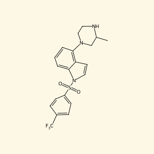 CC1CN(c2cccc3c2ccn3S(=O)(=O)c2ccc(C(F)(F)F)cc2)CCN1